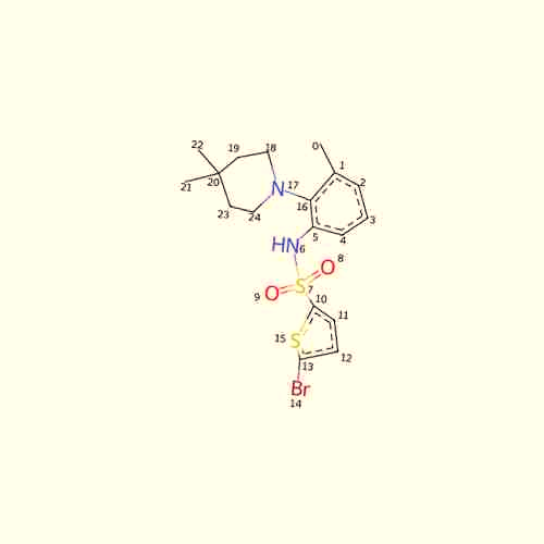 Cc1cccc(NS(=O)(=O)c2ccc(Br)s2)c1N1CCC(C)(C)CC1